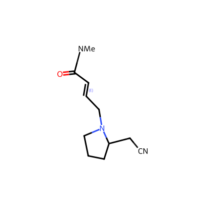 CNC(=O)/C=C/CN1CCCC1CC#N